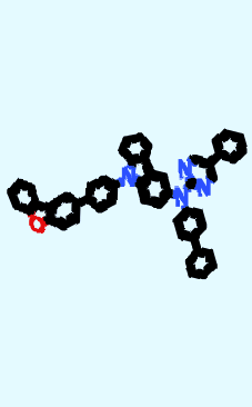 c1ccc(-c2ccc(N(c3ccc4c(c3)c3ccccc3n4-c3ccc(-c4ccc5oc6ccccc6c5c4)cc3)c3ncc(-c4ccccc4)cn3)cc2)cc1